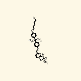 CC(C)(c1ccc(OCCCCCBr)cc1)c1ccc(OCc2ccnc(NS(C)(=O)=O)n2)cc1